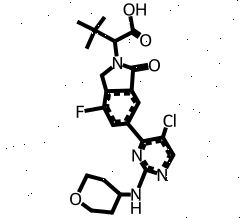 CC(C)(C)C(C(=O)O)N1Cc2c(F)cc(-c3nc(NC4CCOCC4)ncc3Cl)cc2C1=O